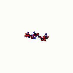 CCS(=O)(=O)N1CC(CC#N)(n2cc(-c3nc(Nc4ccc(C(=O)NCCCCNc5cccc6c5C(=O)N(C5CCC(=O)NC5=O)C6=O)cc4)nc4[nH]ccc34)cn2)C1